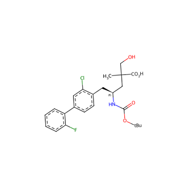 CC(C)(C)OC(=O)N[C@@H](Cc1ccc(-c2ccccc2F)cc1Cl)CC(C)(CO)C(=O)O